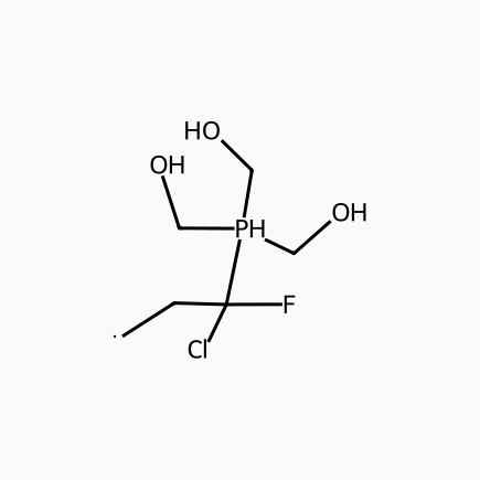 [CH2]CC(F)(Cl)[PH](CO)(CO)CO